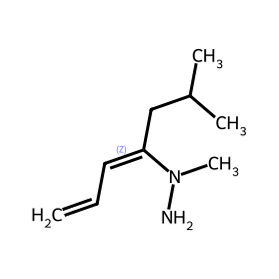 C=C/C=C(/CC(C)C)N(C)N